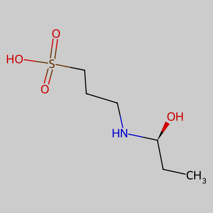 CC[C@H](O)NCCCS(=O)(=O)O